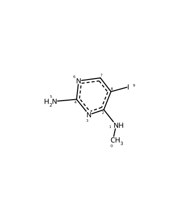 CNc1nc(N)ncc1I